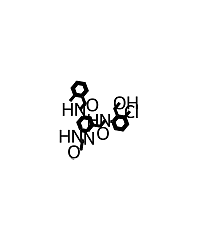 COCc1nc2c(C(=O)Nc3cccc(Cl)c3CO)cc(NC(=O)c3ccccc3C)cc2[nH]1